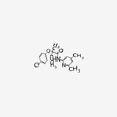 Cc1cc(C)nc(NC(=O)C(C)(C)Oc2ccc(Cl)cc2)c1